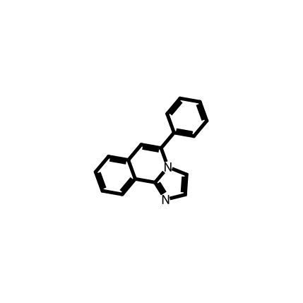 c1ccc(-c2cc3ccccc3c3nccn23)cc1